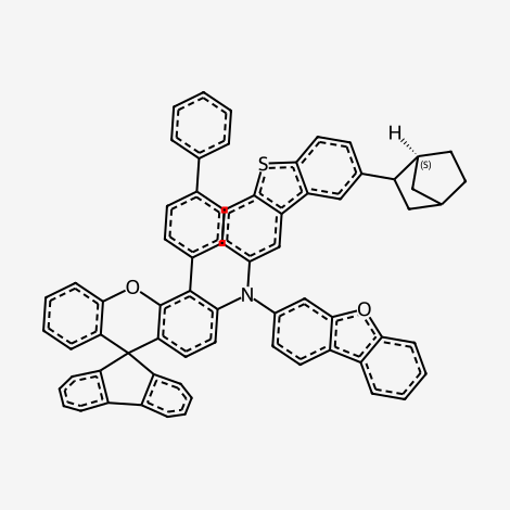 c1ccc(-c2ccc(-c3c(N(c4ccc5c(c4)oc4ccccc45)c4ccc5sc6ccc(C7CC8CC[C@H]7C8)cc6c5c4)ccc4c3Oc3ccccc3C43c4ccccc4-c4ccccc43)cc2)cc1